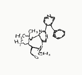 CCC1C(C=O)N(C)c2cnc(-c3ccncc3-c3ccccc3)nc2N1C(C)C